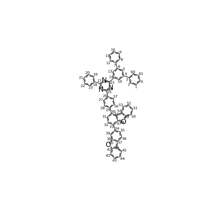 c1ccc(-c2cc(-c3ccccc3)cc(-c3nc(-c4ccccc4)nc(-c4ccc(-c5ccc(-c6ccc7c(c6)oc6ccccc67)c6oc7ccccc7c56)cc4)n3)c2)cc1